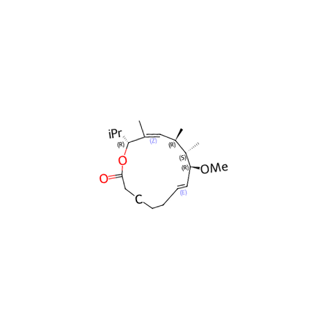 CO[C@H]1/C=C/CCCCC(=O)O[C@H](C(C)C)/C(C)=C\[C@@H](C)[C@@H]1C